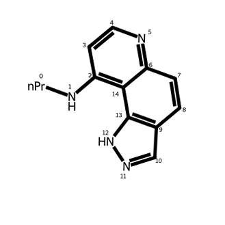 CCCNc1ccnc2ccc3cn[nH]c3c12